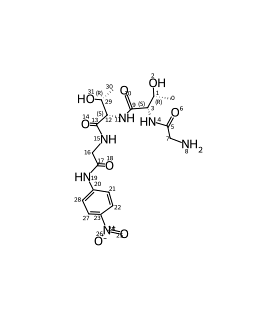 C[C@@H](O)[C@H](NC(=O)CN)C(=O)N[C@H](C(=O)NCC(=O)Nc1ccc([N+](=O)[O-])cc1)[C@@H](C)O